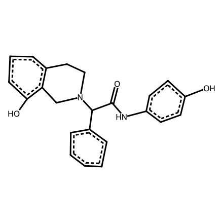 O=C(Nc1ccc(O)cc1)C(c1ccccc1)N1CCc2cccc(O)c2C1